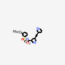 COc1cccc(S(C)(=O)=NC(=O)c2cncc(C#Cc3cccnc3)c2)c1